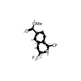 COC(=O)c1ccc2c(Cl)nc(C(F)(F)F)cc2c1